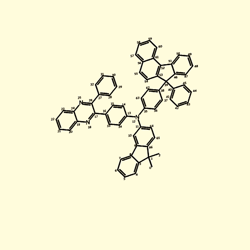 CC1(C)c2ccccc2-c2cc(N(c3ccc(-c4nc5ccccc5nc4-c4ccccc4)cc3)c3ccc(C4(c5ccccc5)c5ccccc5-c5c4ccc4ccccc54)cc3)ccc21